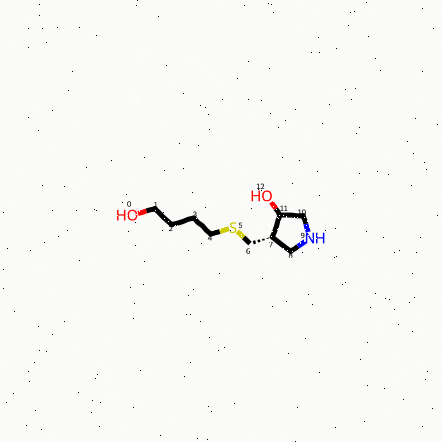 OCCCCSC[C@H]1CNCC1O